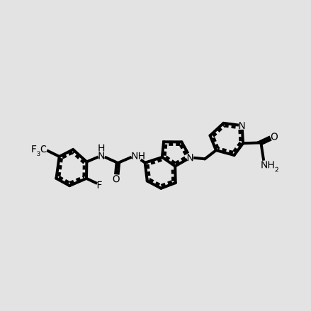 NC(=O)c1cc(Cn2ccc3c(NC(=O)Nc4cc(C(F)(F)F)ccc4F)cccc32)ccn1